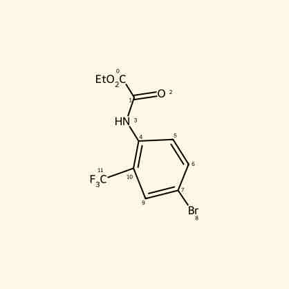 CCOC(=O)C(=O)Nc1ccc(Br)cc1C(F)(F)F